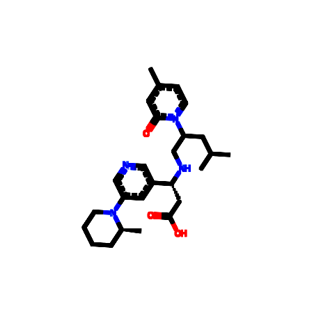 Cc1ccn(C(CN[C@H](CC(=O)O)c2cncc(N3CCCC[C@@H]3C)c2)CC(C)C)c(=O)c1